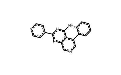 Nc1nc(-c2ccncc2)nc2cncc(-c3ccccc3)c12